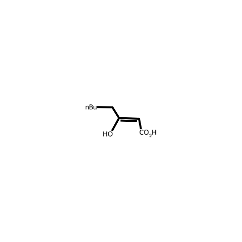 CCCCCC(O)=CC(=O)O